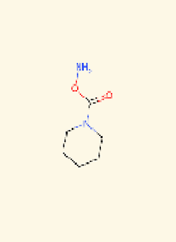 NOC(=O)N1CCCCC1